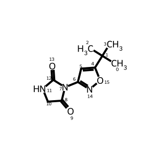 CC(C)(C)c1cc(N2C(=O)CNC2=O)no1